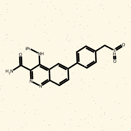 CC(C)Nc1c(C(N)=O)nnc2ccc(-c3ccc(C[SH](=O)=O)cc3)cc12